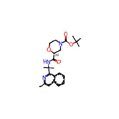 Cc1cc2ccccc2c(C(C)(C)NC(=O)[C@@H]2CN(C(=O)OC(C)(C)C)CCO2)n1